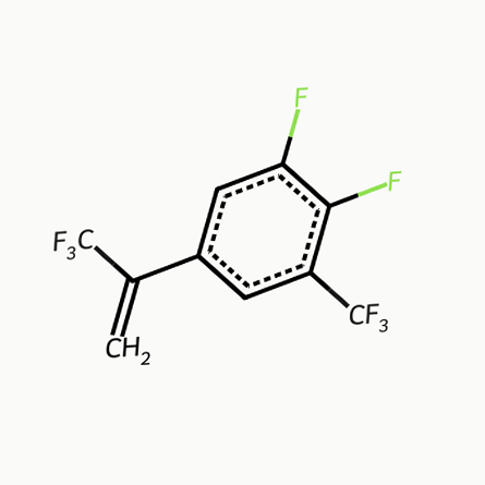 C=C(c1cc(F)c(F)c(C(F)(F)F)c1)C(F)(F)F